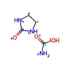 NC(=O)O.O=C1NCCN1